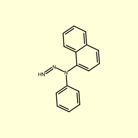 N=NN(c1ccccc1)c1cccc2ccccc12